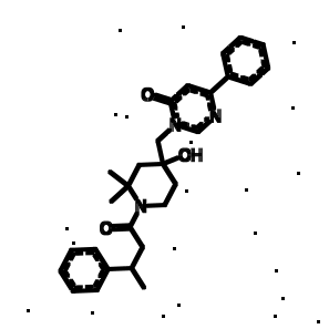 CC(CC(=O)N1CCC(O)(Cn2cnc(-c3ccccc3)cc2=O)CC1(C)C)c1ccccc1